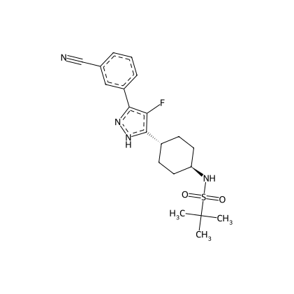 CC(C)(C)S(=O)(=O)N[C@H]1CC[C@H](c2[nH]nc(-c3cccc(C#N)c3)c2F)CC1